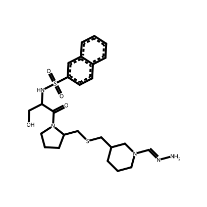 NN=CN1CCCC(CSCC2CCCN2C(=O)C(CO)NS(=O)(=O)c2ccc3ccccc3c2)C1